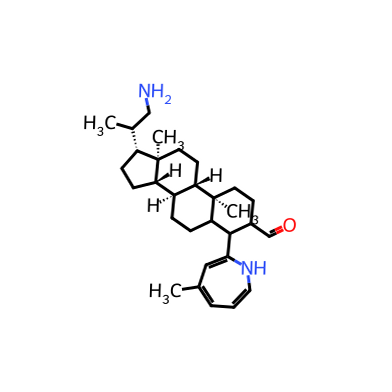 CC1=CC=CNC(C2C(C=O)CC[C@@]3(C)C2CC[C@H]2[C@@H]4CC[C@H](C(C)CN)[C@@]4(C)CC[C@@H]23)=C1